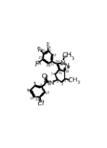 CC1CC(NC(=O)c2cccc(Cl)c2)Cc2c1nn(C)c2-c1cc(F)c(F)c(F)c1